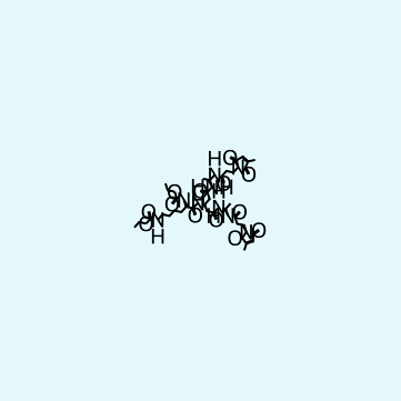 CCOC(=O)NCCCCC(NC(=O)OCC)C(=O)NC(CC(=O)NC(C)NC(=O)CCN1C(=O)C=C(C)C1=O)CC(=O)NC(C)NC(=O)CCN1C(=O)C=C(C)C1=O